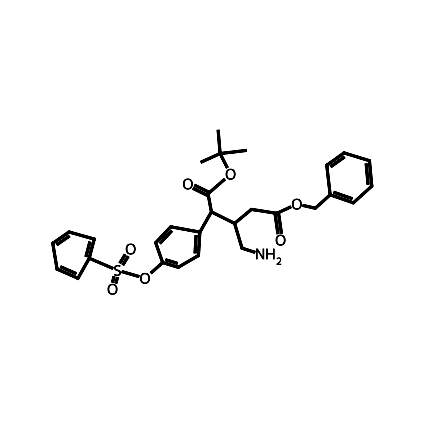 CC(C)(C)OC(=O)C(c1ccc(OS(=O)(=O)c2ccccc2)cc1)C(CN)CC(=O)OCc1ccccc1